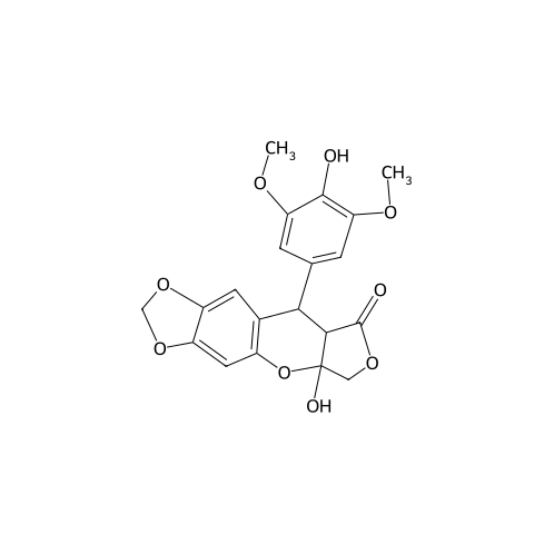 COc1cc(C2c3cc4c(cc3OC3(O)COC(=O)C23)OCO4)cc(OC)c1O